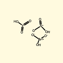 O=[N+]([O-])O.[O-][Br+2]([O-])O.[O]=[V](=[O])[OH]